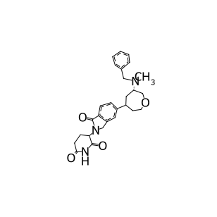 CN(Cc1ccccc1)[C@@H]1COCCC(c2ccc3c(c2)CN(C2CCC(=O)NC2=O)C3=O)C1